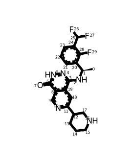 C[C@@H](Nc1n[nH]c(=O)c2cnc(C3CCCNC3)cc12)c1cccc(C(F)F)c1F